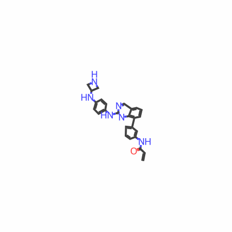 C=CC(=O)Nc1cccc(-c2cccc3cnc(Nc4ccc(NC5CNC5)cc4)nc23)c1